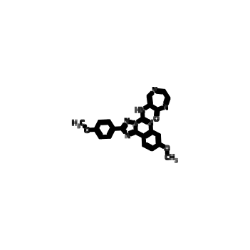 COc1ccc(-c2nc3c4ccc(OC)cc4nc(Nc4cnccnc4=O)n3n2)cc1